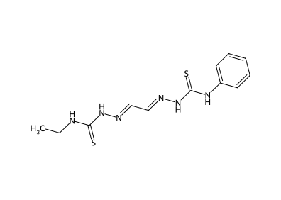 CCNC(=S)N/N=C/C=N/NC(=S)Nc1ccccc1